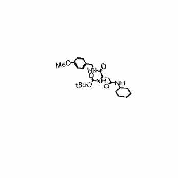 COc1ccc(CNC(=O)[C@H](CC(=O)NC2CCCCC2)NC(=O)OC(C)(C)C)cc1